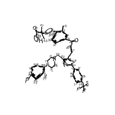 Cc1cc(C(=O)CCc2sc(-c3ccc(C(F)(F)F)cc3)nc2CN2CCN(c3ccc(F)cc3)CC2)ccc1OC(C)(C)C(=O)O